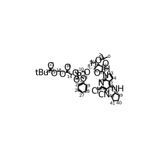 CC1(C)O[C@@H]2[C@H](O1)[C@@H](COCP(=O)(OCC(=O)OCOC(=O)C(C)(C)C)Oc1ccccc1)O[C@H]2n1ccc2c(NC3CCCC3)c(C#N)c(Cl)nc21